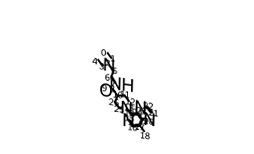 CCN(CC)CCNC(=O)C1CCN(c2ncc(C)c3nccnc23)CC1